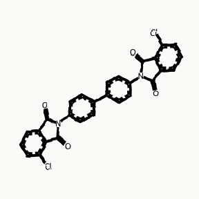 O=C1c2cccc(Cl)c2C(=O)N1c1ccc(-c2ccc(N3C(=O)c4cccc(Cl)c4C3=O)cc2)cc1